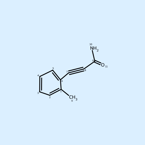 Cc1ccccc1C#CC(N)=O